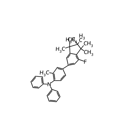 Cc1cc(-c2cc(F)c3c(c2)C(C)(C)C(C)(C)C3(C)C)ccc1N(c1ccccc1)c1ccccc1